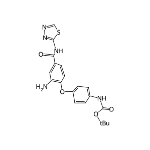 CC(C)(C)OC(=O)Nc1ccc(Oc2ccc(C(=O)Nc3nncs3)cc2N)cc1